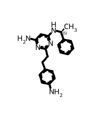 C[C@H](Nc1cc(N)nc(CCc2ccc(N)cc2)n1)c1ccccc1